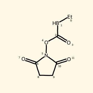 CCBC(=O)ON1C(=O)CCC1=O